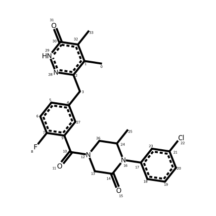 Cc1c(Cc2ccc(F)c(C(=O)N3CC(=O)N(c4cccc(Cl)c4)C(C)C3)c2)n[nH]c(=O)c1C